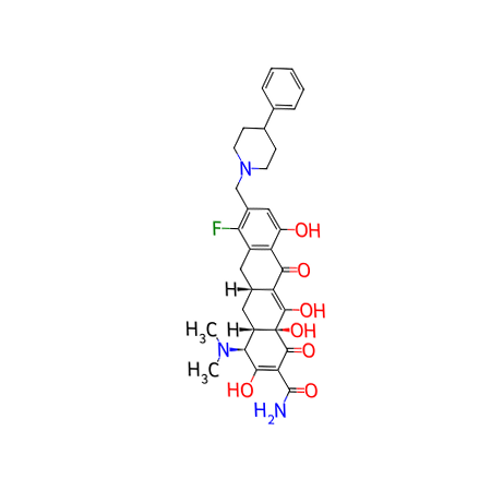 CN(C)[C@@H]1C(O)=C(C(N)=O)C(=O)[C@@]2(O)C(O)=C3C(=O)c4c(O)cc(CN5CCC(c6ccccc6)CC5)c(F)c4C[C@H]3C[C@@H]12